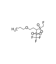 CCCOCCC(S(=O)(=O)CF)S(=O)(=O)C(F)(F)F